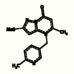 CSc1cc2n(Cc3ccc(C)nc3)c(C)cc(=O)n2n1